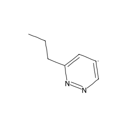 CCCc1c[c]cnn1